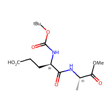 COC(=O)[C@H](C)NC(=O)[C@@H](CCC(=O)O)NC(=O)OC(C)(C)C